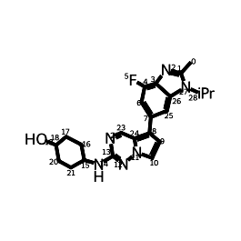 Cc1nc2c(F)cc(-c3ccn4nc(NC5CCC(O)CC5)ncc34)cc2n1C(C)C